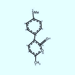 CSc1ccc(-c2ccc(C)oc2=O)cc1